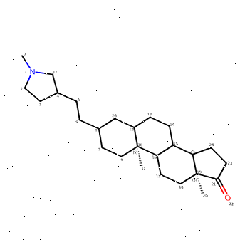 CN1CCC(CCC2CC[C@@]3(C)C(CCC4C3CC[C@]3(C)C(=O)CCC43)C2)C1